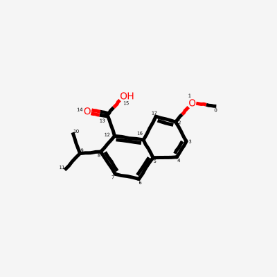 COc1ccc2ccc(C(C)C)c(C(=O)O)c2c1